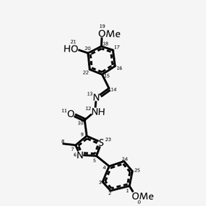 COc1ccc(-c2nc(C)c(C(=O)N/N=C/c3ccc(OC)c(O)c3)s2)cc1